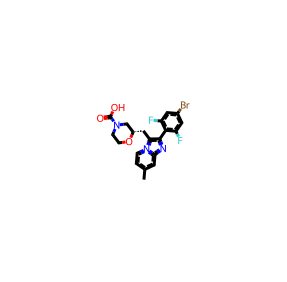 Cc1ccn2c(C[C@H]3CN(C(=O)O)CCO3)c(-c3c(F)cc(Br)cc3F)nc2c1